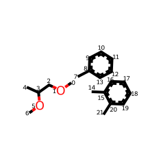 COCC(C)OC.Cc1ccccc1.Cc1ccccc1C